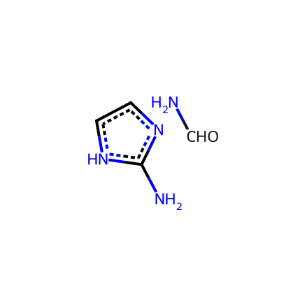 NC=O.Nc1ncc[nH]1